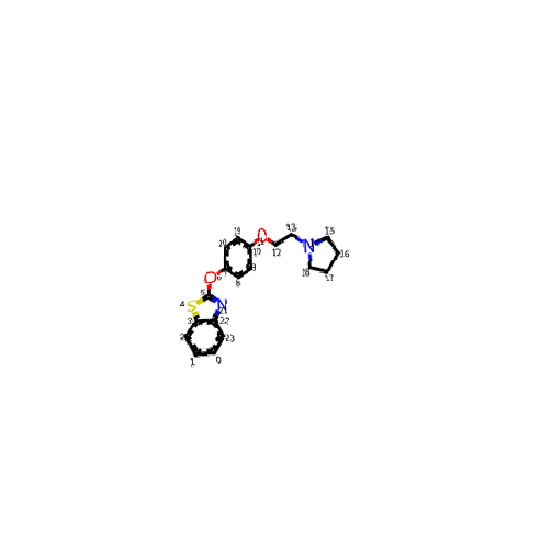 c1ccc2sc(Oc3ccc(OCCN4CCCC4)cc3)nc2c1